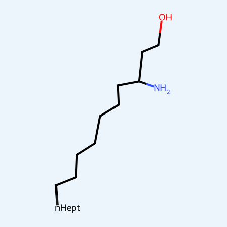 CCCCCCCCCCCCCCC(N)CCO